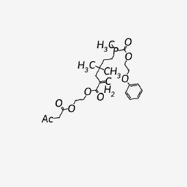 C=C(CC(C)(C)CCP(C)C(=O)OCCOc1ccccc1)C(=O)OCCOC(=O)CC(C)=O